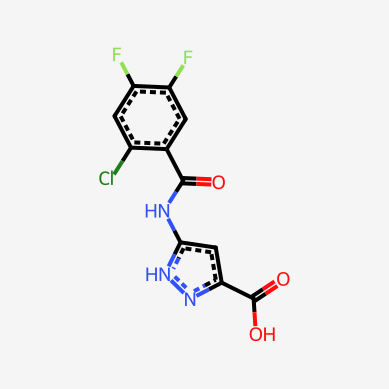 O=C(O)c1cc(NC(=O)c2cc(F)c(F)cc2Cl)[nH]n1